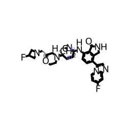 C=C(/C=C\C(=N/C)Nc1ccc(-c2cnc3cc(F)ccn23)c2c1C(=O)NC2)N1CCO[C@H](CN2CC(F)C2)C1